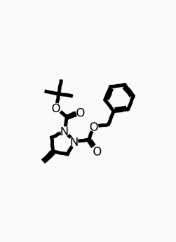 C=C1CN(C(=O)OCc2ccccc2)N(C(=O)OC(C)(C)C)C1